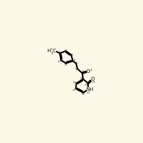 Cc1ccc(CCC(=O)c2ccc[nH]c2=O)cc1